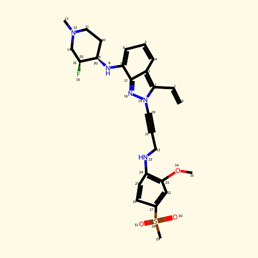 C=Cc1c2cccc(N[C@@H]3CCN(C)C[C@@H]3F)c2nn1C#CCNc1ccc(S(C)(=O)=O)cc1OC